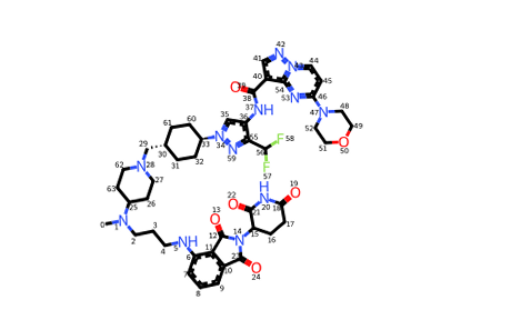 CN(CCCNc1cccc2c1C(=O)N(C1CCC(=O)NC1=O)C2=O)C1CCN(C[C@H]2CC[C@H](n3cc(NC(=O)c4cnn5ccc(N6CCOCC6)nc45)c(C(F)F)n3)CC2)CC1